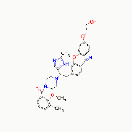 COc1c(C)cccc1C(=O)N1CCN(C(Cc2ccc(C#N)c(Oc3cccc(OCCO)c3)c2)c2cnc(C)[nH]2)CC1